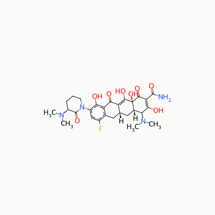 CN(C)[C@@H]1C(O)=C(C(N)=O)C(=O)[C@@]2(O)C(O)=C3C(=O)c4c(O)c(N5CCC[C@H](N(C)C)C5=O)cc(F)c4C[C@H]3C[C@@H]12